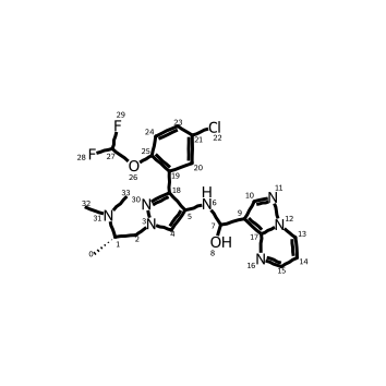 C[C@@H](Cn1cc(NC(O)c2cnn3cccnc23)c(-c2cc(Cl)ccc2OC(F)F)n1)N(C)C